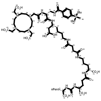 CCCCC[C@H](NC(=O)N[C@@H](CCC(=O)N[C@H](CCCNC(=O)CCC(=O)NCCCC[C@H](CC(O)O)NC(=O)[C@@H](CNC(=O)c1ccc([Si](F)(C(C)(C)C)C(C)(C)C)cc1)NC(=O)CN1CCN(CC(=O)O)CCN(CC(=O)O)CCN(CC(=O)O)CC1)C(=O)O)C(=O)O)C(=O)O